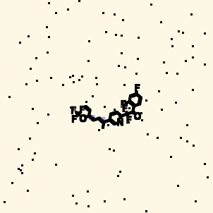 C=C/C(=C\C=C(/C)c1ccc(C(F)(F)C(=O)c2ccc(F)cc2F)nc1)OC(F)(F)F